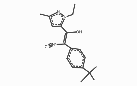 [C-]#[N+]C(=C(O)c1cc(C)nn1CC)c1ccc(C(C)(C)C)cc1